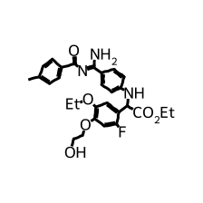 CCOC(=O)C(Nc1ccc(/C(N)=N/C(=O)c2ccc(C)cc2)cc1)c1cc(OCC)c(OCCO)cc1F